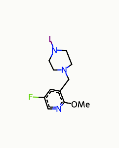 COc1ncc(F)cc1CN1CCN(I)CC1